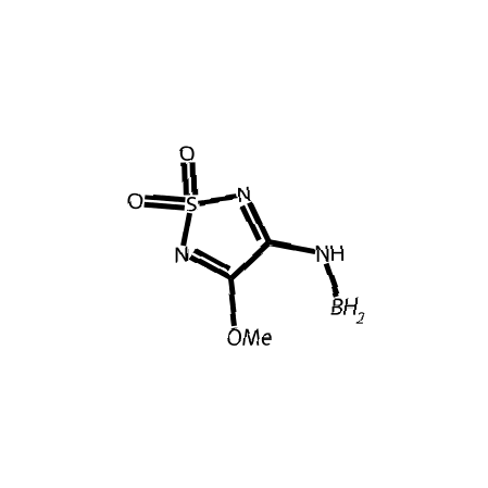 BNC1=NS(=O)(=O)N=C1OC